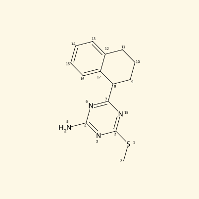 CSc1nc(N)nc(C2CCCc3ccccc32)n1